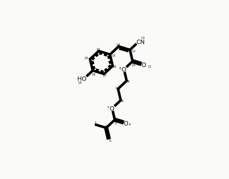 C=C(C)C(=O)OCCCOC(=O)C(C#N)=Cc1ccc(O)cc1